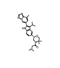 Cc1cc(-c2[nH]c3ccc([C@@H]4CN(C(=O)CN(C)C)C(C)(C)CO4)cc3c2C(C)C)cn2ncnc12